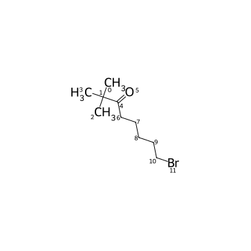 CC(C)(C)C(=O)CCCCCBr